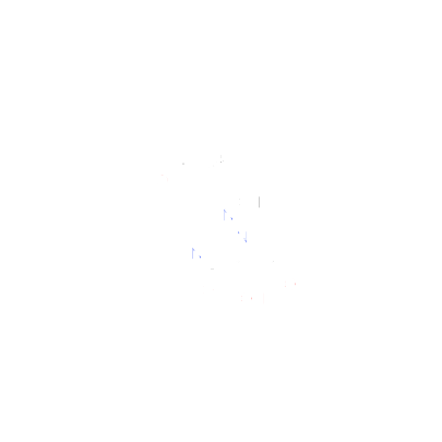 C[C@@]1(c2ccccc2)c2ccccc2OC/C=C\CN2CN1n1ccc(=O)c(O)c1C2=O